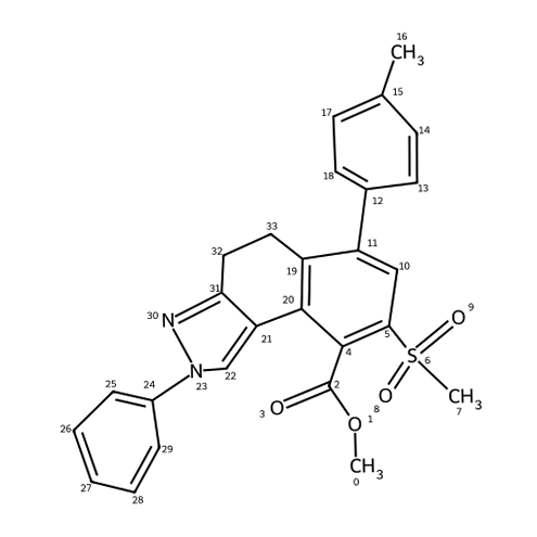 COC(=O)c1c(S(C)(=O)=O)cc(-c2ccc(C)cc2)c2c1-c1cn(-c3ccccc3)nc1CC2